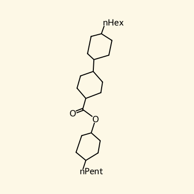 CCCCCCC1CCC(C2CCC(C(=O)OC3CCC(CCCCC)CC3)CC2)CC1